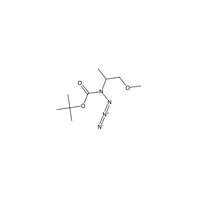 COCC(C)N(N=[N+]=[N-])C(=O)OC(C)(C)C